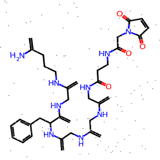 C=C(N)CCCNC(=C)CNC(=C)C(Cc1ccccc1)NC(=C)CNC(=C)CNC(=C)CNC(=O)CCNC(=O)CN1C(=O)C=CC1=O